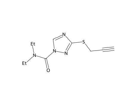 C#CCSc1ncn(C(=O)N(CC)CC)n1